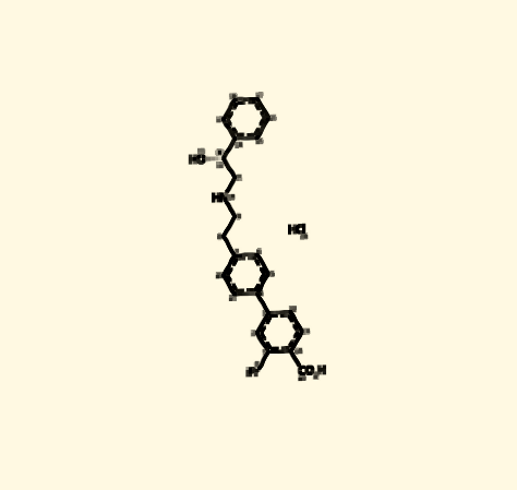 CC(C)c1cc(-c2ccc(CCNC[C@H](O)c3ccccc3)cc2)ccc1C(=O)O.Cl